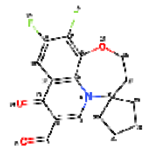 O=Cc1cn2c3c(c(F)c(F)cc3c1=O)OCCC21CCCC1